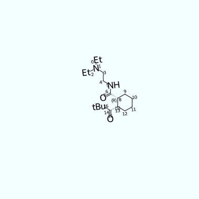 CCN(CC)CCNC(=O)[C@@H]1CCCC[C@@H]1C(=O)C(C)(C)C